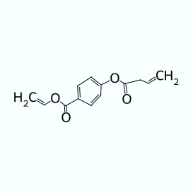 C=CCC(=O)Oc1ccc(C(=O)OC=C)cc1